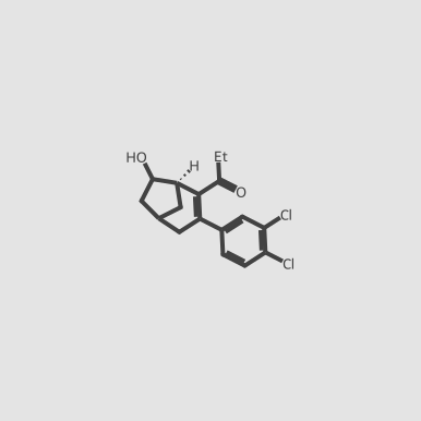 CCC(=O)C1=C(c2ccc(Cl)c(Cl)c2)CC2CC(O)[C@@H]1C2